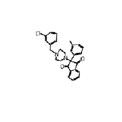 Cc1cccc(C2(N3CCN(Cc4cccc(Cl)c4)CC3)C(=O)c3ccccc3C2=O)c1